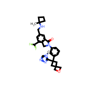 Cn1cnnc1C1(c2cccc(N3Cc4c(cc(CNC5(C)CCC5)cc4C(F)F)C3=O)c2)CC2(COC2)C1